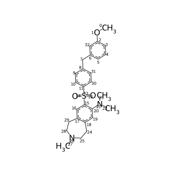 COc1cccc(Cc2ccc(S(=O)(=O)c3cc4c(cc3N(C)C)CCN(C)CC4)cc2)c1